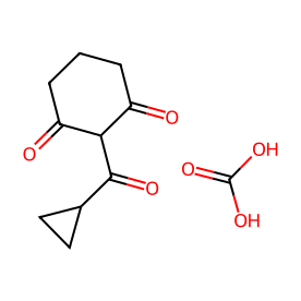 O=C(O)O.O=C1CCCC(=O)C1C(=O)C1CC1